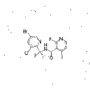 CC(I)(NC(=O)c1c(I)ccnc1F)c1ncc(Br)cc1Cl